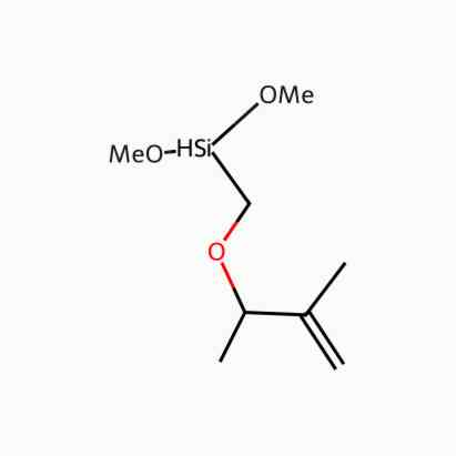 C=C(C)C(C)OC[SiH](OC)OC